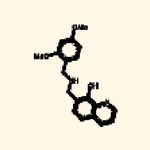 COc1ccc(CNCc2ccc3cccnc3c2O)c(OC)c1